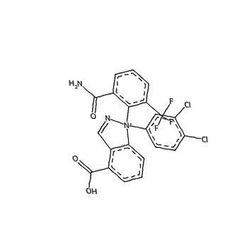 NC(=O)c1cccc(C(F)(F)F)c1[N+]1(c2ccc(Cl)c(Cl)c2)N=Cc2c(C(=O)O)cccc21